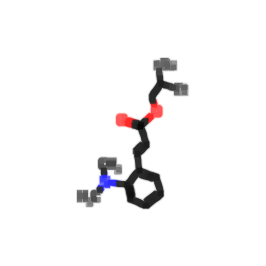 CCCCC(CC)COC(=O)/C=C/c1ccccc1N(C)C